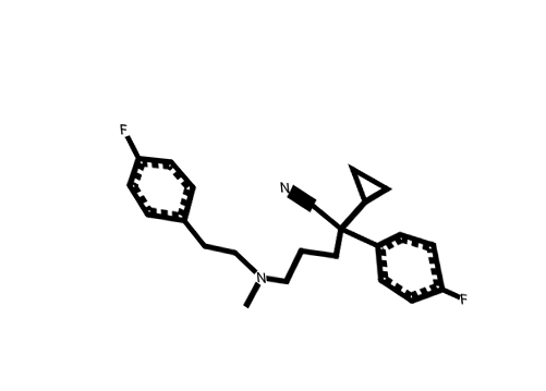 CN(CCCC(C#N)(c1ccc(F)cc1)C1CC1)CCc1ccc(F)cc1